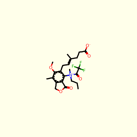 CCC[N+](C)(C(=O)C(F)(F)F)c1c(C/C=C(\C)CCC(=O)[O-])c(OC)c(C)c2c1C(=O)OC2